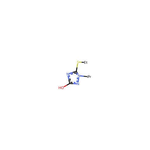 CCSc1nc(O)nn1C(C)C